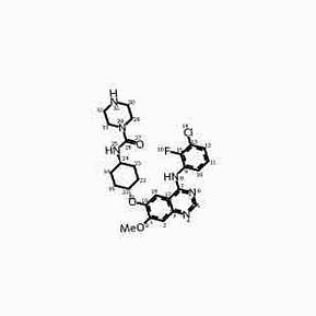 COc1cc2ncnc(Nc3cccc(Cl)c3F)c2cc1O[C@H]1CC[C@H](NC(=O)N2CCNCC2)CC1